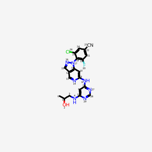 CC(O)CNc1cc(Nc2cc3c(cn2)cnn3-c2c(F)cc(C#N)cc2Cl)ncn1